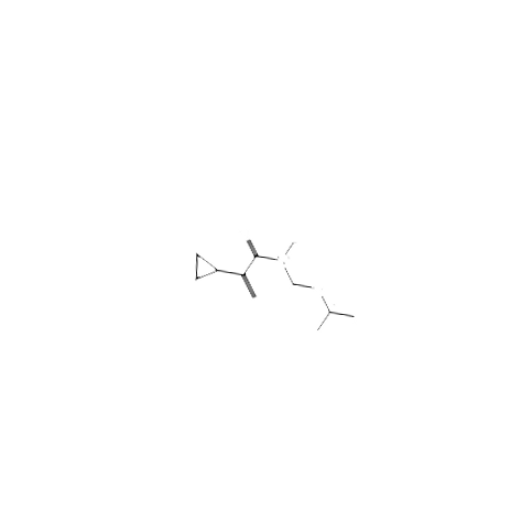 C=C(C(=O)N(C)COC(C)C)C1CC1